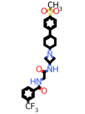 CS(=O)(=O)c1ccc(C2=CCC(N3CC(NC(=O)CNC(=O)c4cccc(C(F)(F)F)c4)C3)CC2)cc1